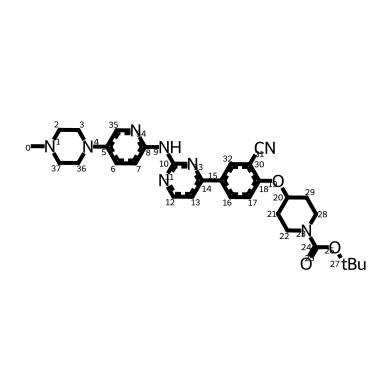 CN1CCN(c2ccc(Nc3nccc(-c4ccc(OC5CCN(C(=O)OC(C)(C)C)CC5)c(C#N)c4)n3)nc2)CC1